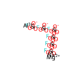 O=[Si]([O-])OF.O=[Si]([O-])OF.O=[Si]([O-])OF.O=[Si]([O-])OF.O=[Si]([O-])OF.O=[Si]([O-])OF.[Al+3].[Mg+2].[Na+]